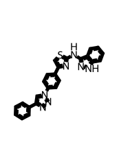 c1ccc(-c2cn(-c3ccc(-c4csc(Nc5n[nH]c6ccccc56)n4)cc3)nn2)cc1